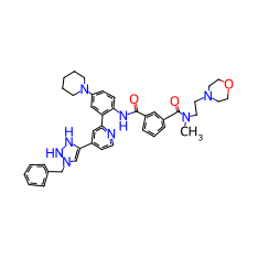 CN(CCN1CCOCC1)C(=O)c1cccc(C(=O)Nc2ccc(N3CCCCC3)cc2-c2cc(C3=CN(Cc4ccccc4)NN3)ccn2)c1